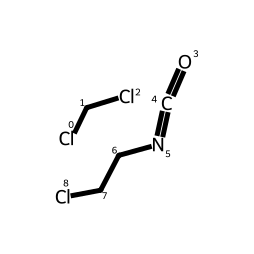 ClCCl.O=C=NCCCl